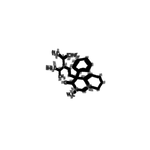 CC(C)N(CCC1(c2ccccc2)C(=O)N(C)CN2CCCCC21)C(C)C